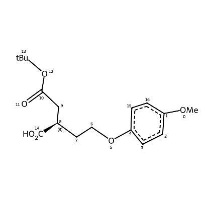 COc1ccc(OCC[C@H](CC(=O)OC(C)(C)C)C(=O)O)cc1